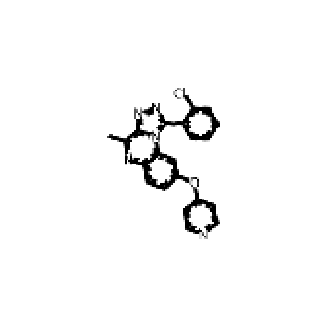 Cc1nc2ccc(Oc3ccncc3)cc2n2c(-c3ccccc3Cl)nnc12